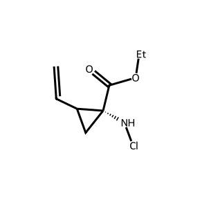 C=CC1C[C@]1(NCl)C(=O)OCC